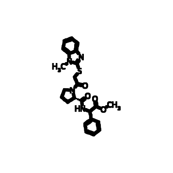 COC(=O)C(NC(=O)[C@@H]1CCCN1C(=O)CSc1nc2ccccc2n1C)c1ccccc1